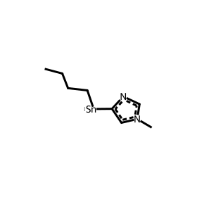 CCC[CH2][Sn][c]1cn(C)cn1